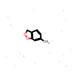 [CH2]c1ccc2c(c1)OOC2